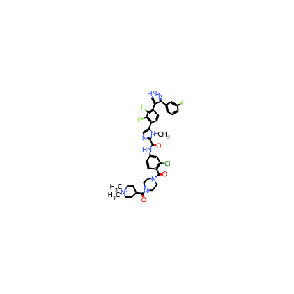 Cn1c(-c2ccc(-c3c[nH]nc3-c3cccc(F)c3)c(F)c2F)cnc1C(=O)Nc1ccc(C(=O)N2CCN(C(=O)C3CC[N+](C)(C)CC3)CC2)c(Cl)c1